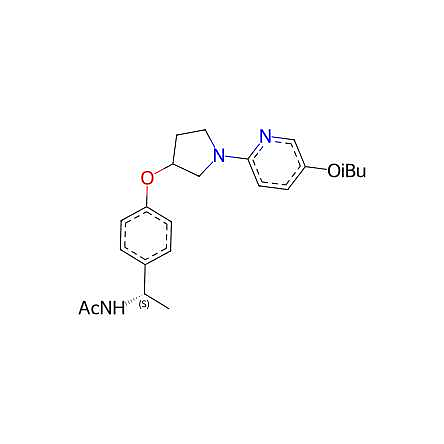 CC(=O)N[C@@H](C)c1ccc(OC2CCN(c3ccc(OCC(C)C)cn3)C2)cc1